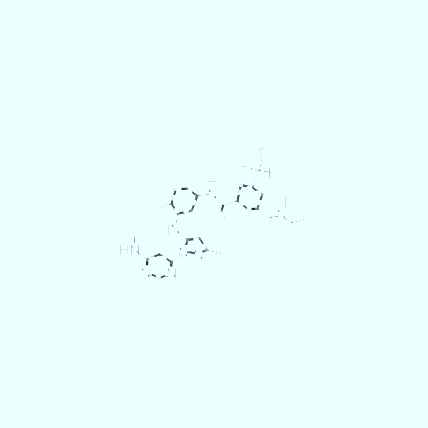 CCNC(C)c1cc(C(=O)Nc2ccc(C)c(Nc3cc(C)nn3-c3cc(NC)ncn3)c2)cc(C(F)(F)F)c1